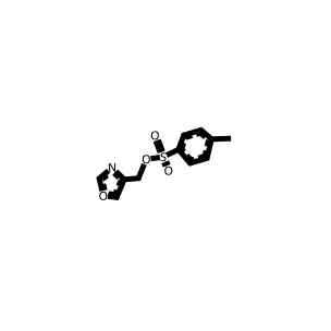 Cc1ccc(S(=O)(=O)OCc2cocn2)cc1